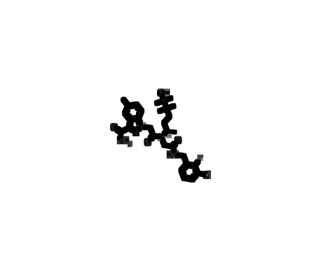 Cc1ccc2c(c1)c(C(N)=O)nn2CC(=O)N(CC(=O)NCc1cccc(Cl)c1F)[C@H](C)CCC(C)(C)[Si](C)(C)O